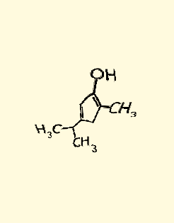 CC1=C(O)C=C(C(C)C)C1